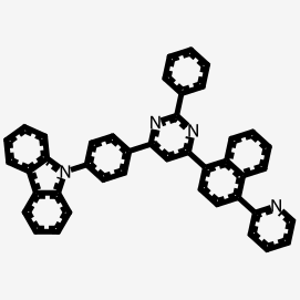 c1ccc(-c2nc(-c3ccc(-n4c5ccccc5c5ccccc54)cc3)cc(-c3ccc(-c4ccccn4)c4ccccc34)n2)cc1